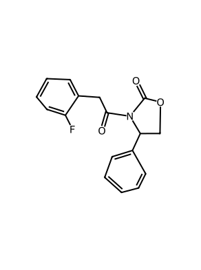 O=C(Cc1ccccc1F)N1C(=O)OCC1c1ccccc1